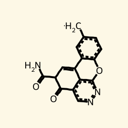 [CH2]c1ccc2c(c1)C1=CC(C(N)=O)C(=O)c3cnnc(c31)O2